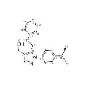 OCc1nnn(-c2ccc(C(F)F)cc2)c1COc1ccccn1